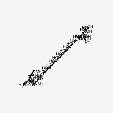 CN[C@@H](CCCCNC(=O)C(O)COCC(O)COCC(O)COCC(O)COCC(O)COCC(O)COCC(O)COCC(O)COCC(O)COCC(O)COCC(O)COCC(O)C(=O)NCCN(C[C@H](O)[C@@H](O)[C@H](O)[C@H](O)CO)C[C@H](O)[C@@H](O)[C@H](O)[C@H](O)CO)C(=O)N[C@H](C(=O)N[C@@H](CCCNC(N)=O)C(=O)Nc1ccc(COC)cc1)C(C)C